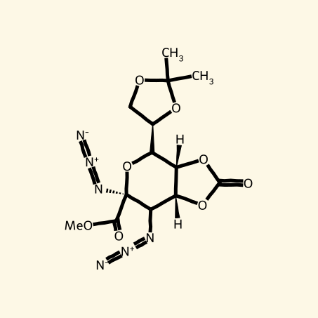 COC(=O)[C@@]1(N=[N+]=[N-])OC([C@H]2COC(C)(C)O2)[C@@H]2OC(=O)O[C@@H]2C1N=[N+]=[N-]